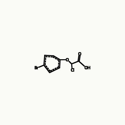 O=C(O)C(Cl)Oc1ccc(Br)cc1